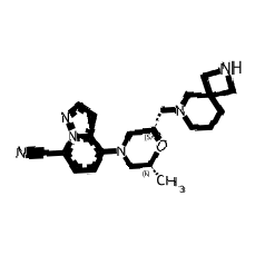 C[C@@H]1CN(c2ccc(C#N)n3nccc23)C[C@H](CN2CCCC3(CNC3)C2)O1